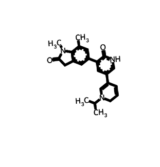 Cc1cc(-c2cc(C3=CN(C(C)C)CC=C3)c[nH]c2=O)cc2c1N(C)C(=O)C2